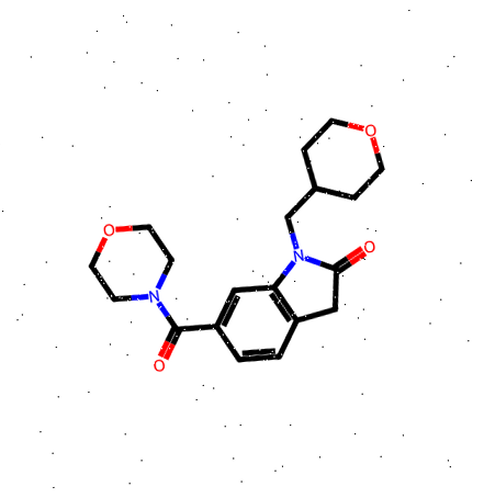 O=C(c1ccc2c(c1)N(CC1CCOCC1)C(=O)C2)N1CCOCC1